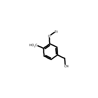 CCOc1cc(CC#N)ccc1C(=O)O